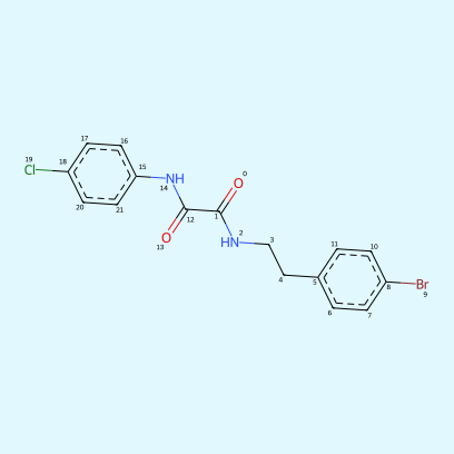 O=C(NCCc1ccc(Br)cc1)C(=O)Nc1ccc(Cl)cc1